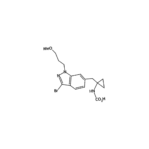 COCCCn1nc(Br)c2ccc(CC3(NC(=O)O)CC3)cc21